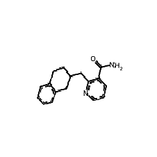 NC(=O)c1cccnc1CC1CCc2ccccc2C1